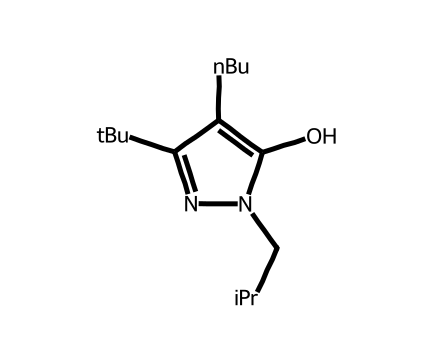 CCCCc1c(C(C)(C)C)nn(CC(C)C)c1O